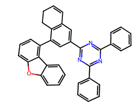 C1=Cc2cc(-c3nc(-c4ccccc4)nc(-c4ccccc4)n3)cc(-c3cccc4oc5ccccc5c34)c2CC1